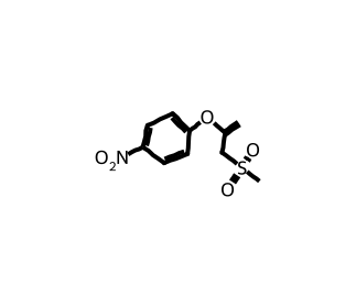 C=C(CS(C)(=O)=O)Oc1ccc([N+](=O)[O-])cc1